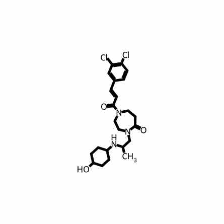 CC(CN1CCN(C(=O)C=Cc2ccc(Cl)c(Cl)c2)CCC1=O)NC1CCC(O)CC1